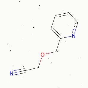 N#CCO[CH]c1ccccn1